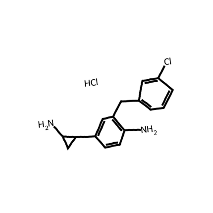 Cl.Nc1ccc(C2CC2N)cc1Cc1cccc(Cl)c1